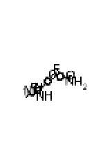 CN/C(C)=C\C(=N)C1CCCN1Cc1ccc(Oc2ccc(C(N)=O)cc2F)cc1